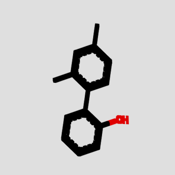 Cc1ccc(-c2ccccc2O)c(C)c1